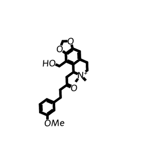 COc1cccc(CCC(=O)CC2c3c(cc4c(c3CO)OCO4)CC[N+]2(C)C)c1